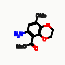 COC(=O)c1c(N)cc(OC)c2c1OCCO2